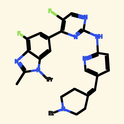 CCN1CCC(=Cc2ccc(Nc3ncc(F)c(-c4cc(F)c5nc(C)n(C(C)C)c5c4)n3)nc2)CC1